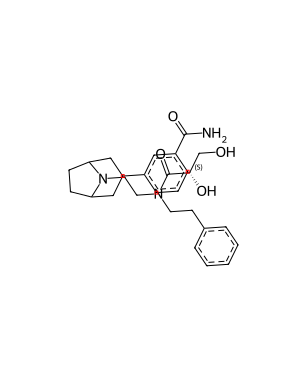 NC(=O)c1cccc(C2CC3CCC(C2)N3CCN(CCc2ccccc2)C(=O)[C@@H](O)CO)c1